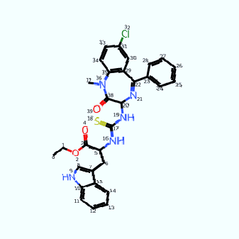 CCOC(=O)C(Cc1c[nH]c2ccccc12)NC(=S)NC1N=C(c2ccccc2)c2cc(Cl)ccc2N(C)C1=O